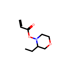 C=CC(=O)ON1CCOCC1CC